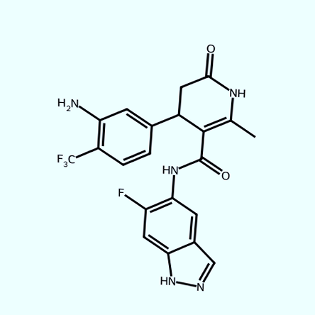 CC1=C(C(=O)Nc2cc3cn[nH]c3cc2F)C(c2ccc(C(F)(F)F)c(N)c2)CC(=O)N1